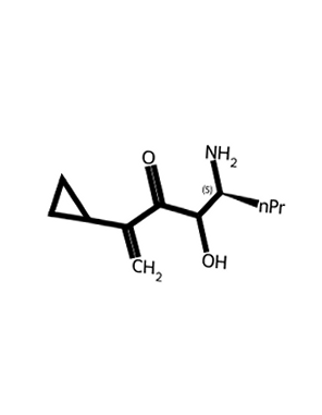 C=C(C(=O)C(O)[C@@H](N)CCC)C1CC1